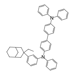 CCC1(c2cccc(N(c3ccccc3)c3ccc(-c4ccc(N(c5ccccc5)c5ccccc5)cc4)cc3)c2)CC2CCCC(C2)C1